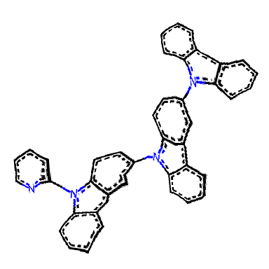 c1ccc(-n2c3ccccc3c3cc(-n4c5ccccc5c5cc(-n6c7ccccc7c7ccccc76)ccc54)ccc32)nc1